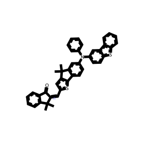 CC1(C)/C(=C/c2cc3c(s2)-c2ccc(N(c4ccccc4)c4ccc5sc6ccccc6c5c4)cc2C3(C)C)C(=O)c2ccccc21